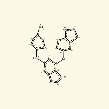 Bc1ccc(Nc2nc(Nc3ccc4[nH]ncc4c3)c3sccc3n2)cc1